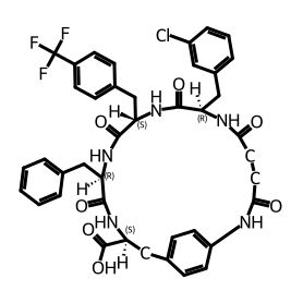 O=C1CCC(=O)N[C@H](Cc2cccc(Cl)c2)C(=O)N[C@@H](Cc2ccc(C(F)(F)F)cc2)C(=O)N[C@H](Cc2ccccc2)C(=O)N[C@H](C(=O)O)Cc2ccc(cc2)N1